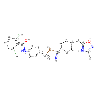 Cc1noc(CC2CCC(c3ncc(-c4ccc(NC(=O)c5c(F)cccc5F)cc4)s3)CC2)n1